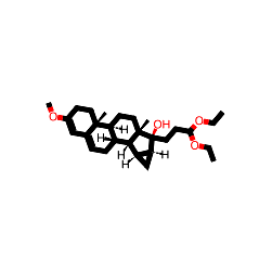 CCOC(CC[C@]1(O)[C@H]2C[C@H]2[C@H]2[C@@H]3CC=C4C=C(OC)CC[C@]4(C)[C@H]3CC[C@@]21C)OCC